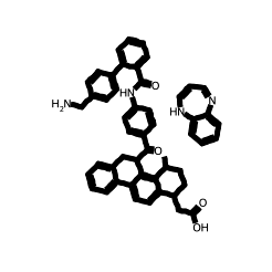 C1=CNc2ccccc2N=C1.CC1CCC(CC(=O)O)c2ccc3c(c21)C(C(=O)c1ccc(NC(=O)c2ccccc2-c2ccc(CN)cc2)cc1)Cc1ccccc1-3